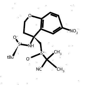 CC(C)(C#N)[S+]([O-])C[C@@]1(N[S@+]([O-])C(C)(C)C)CCOc2ccc([N+](=O)[O-])cc21